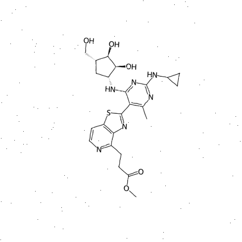 COC(=O)CCc1nccc2sc(-c3c(C)nc(NC4CC4)nc3N[C@@H]3C[C@H](CO)[C@@H](O)[C@H]3O)nc12